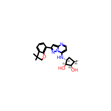 [CH2][C@@H]1C[C@@H](Nc2ccnc3cc(-c4cccc5c4OCC5(C)C)nn23)[C@H](O)[C@@H]1O